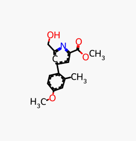 COC(=O)c1cc(-c2ccc(OC)cc2C)cc(CO)n1